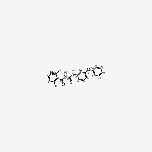 Cc1ccnc(C)c1C(=O)NC(=S)Nc1cccc(Oc2ccccc2)c1